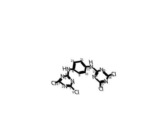 Clc1nc(Cl)nc(Nc2ccc(Nc3nc(Cl)nc(Cl)n3)cc2)n1